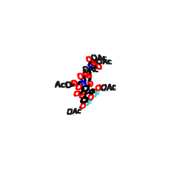 CC(=O)OCOC(=O)CN(CCOCCOc1cc2c(cc1N(CC(=O)OCOC(C)=O)CC(=O)OCOC(C)=O)C(=O)OC21c2ccc(OCOC(C)=O)c(F)c2Oc2c1ccc(OCOC(C)=O)c2F)CC(=O)OCOC(C)=O